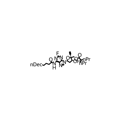 C#C[C@]1(COC(=O)C(CCC)CCC)O[C@@H](n2cnc3c(NC(=O)CCCCCCCCCCCCC)nc(F)nc32)C[C@@H]1O